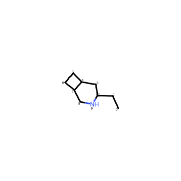 CCC1CC2CCC2CN1